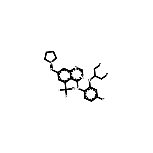 FCC(CF)Oc1cc(F)ccc1Nc1ncnc2cc(N=S3CCCC3)cc(C(F)(F)F)c12